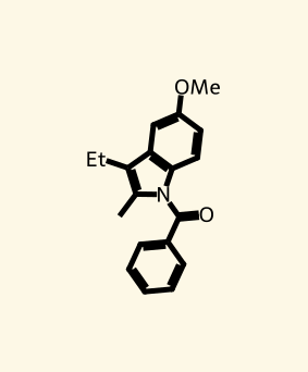 CCc1c(C)n(C(=O)c2ccccc2)c2ccc(OC)cc12